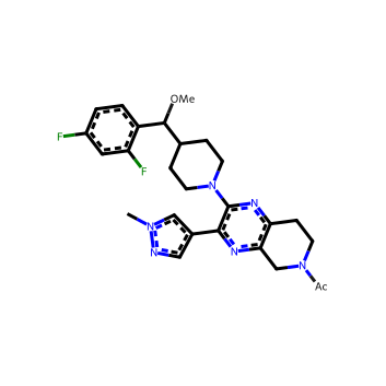 COC(c1ccc(F)cc1F)C1CCN(c2nc3c(nc2-c2cnn(C)c2)CN(C(C)=O)CC3)CC1